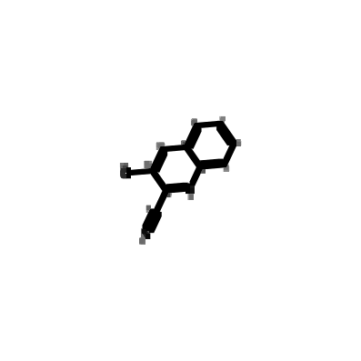 N#Cc1nc2ccccc2cc1Cl